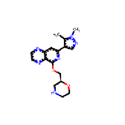 Cc1c(-c2cc3nccnc3c(OC[C@@H]3CNCCO3)n2)cnn1C